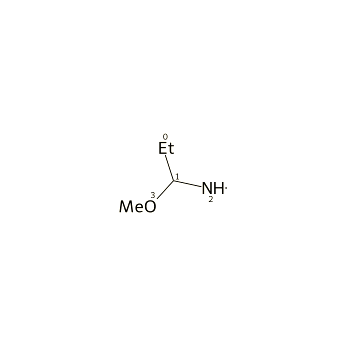 CCC([NH])OC